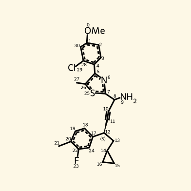 COc1ccc(-c2nc(C(N)C#C[C@@H](CC3CC3)c3ccc(C)c(F)c3)sc2C)c(Cl)c1